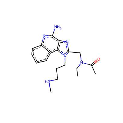 CCN(Cc1nc2c(N)nc3ccccc3c2n1CCCNC)C(C)=O